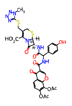 CC(=O)Oc1ccc2c(=O)c(C(=O)NC(C(=O)N[C@@H]3C(=O)N4C(C(=O)O)=C(CSc5nnnn5C)CS[C@@H]34)c3ccc(O)cc3)coc2c1OC(C)=O